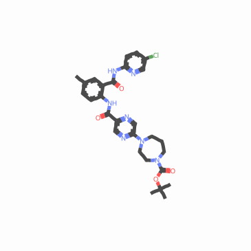 Cc1ccc(NC(=O)c2cnc(N3CCCN(C(=O)OC(C)(C)C)CC3)cn2)c(C(=O)Nc2ccc(Cl)cn2)c1